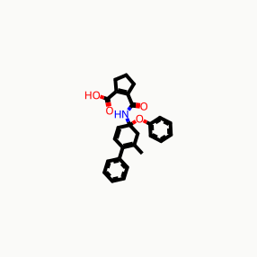 CC1=C(c2ccccc2)C=CC(NC(=O)C2=C(C(=O)O)CCC2)(Oc2ccccc2)C1